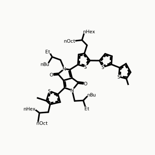 CCCCCCCCC(CCCCCC)Cc1cc(C2=C3C(=O)N(CC(CC)CCCC)C(c4cc(CC(CCCCCC)CCCCCCCC)c(-c5ccc(-c6ccc(C)s6)s5)s4)=C3C(=O)N2CC(CC)CCCC)sc1C